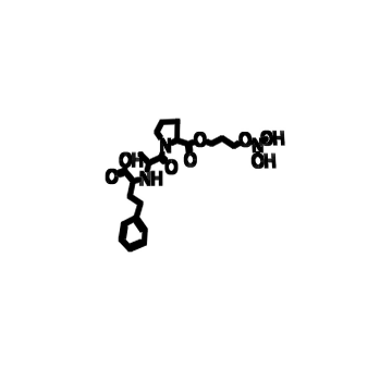 CC(NC(CCc1ccccc1)C(=O)O)C(=O)N1CCCC1C(=O)OCCCON(O)O